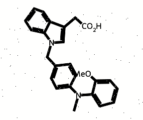 COc1ccccc1N(C)c1ccc(Cn2cc(CC(=O)O)c3ccccc32)cc1